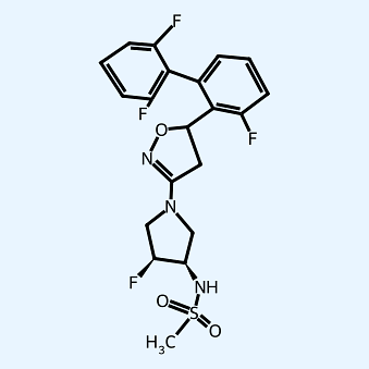 CS(=O)(=O)N[C@@H]1CN(C2=NOC(c3c(F)cccc3-c3c(F)cccc3F)C2)C[C@@H]1F